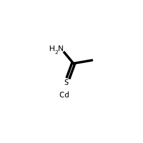 CC(N)=S.[Cd]